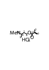 C=C(C)C(=O)OCCC(C)NC.Cl